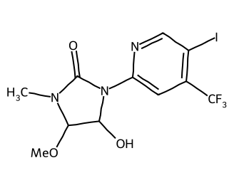 COC1C(O)N(c2cc(C(F)(F)F)c(I)cn2)C(=O)N1C